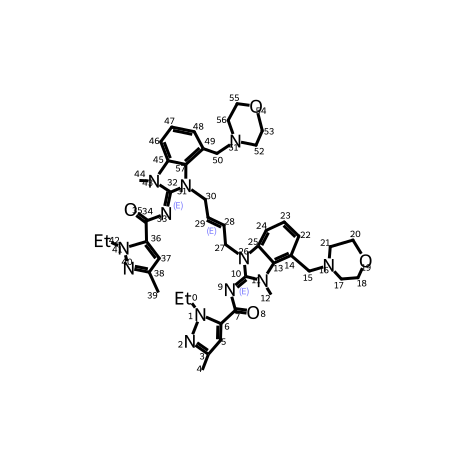 CCn1nc(C)cc1C(=O)/N=c1\n(C)c2c(CN3CCOCC3)cccc2n1C/C=C/Cn1/c(=N/C(=O)c2cc(C)nn2CC)n(C)c2cccc(CN3CCOCC3)c21